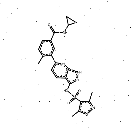 Cc1ccc(C(=O)NC2CC2)cc1-c1ccc2c(NS(=O)(=O)c3c(C)noc3C)n[nH]c2n1